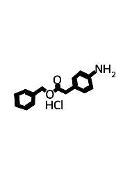 Cl.Nc1ccc(CC(=O)OCc2ccccc2)cc1